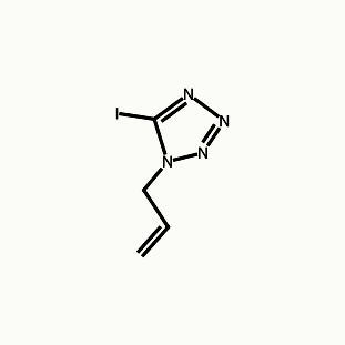 C=CCn1nnnc1I